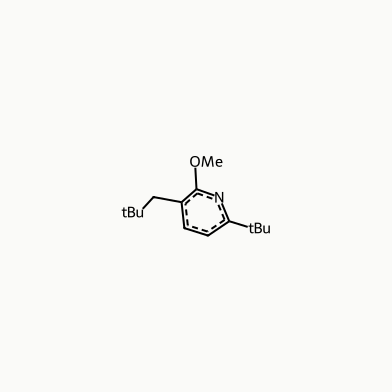 COc1nc(C(C)(C)C)ccc1CC(C)(C)C